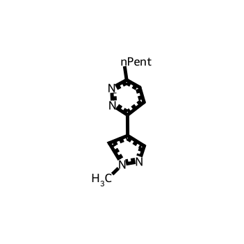 CCCCCc1ccc(-c2cnn(C)c2)nn1